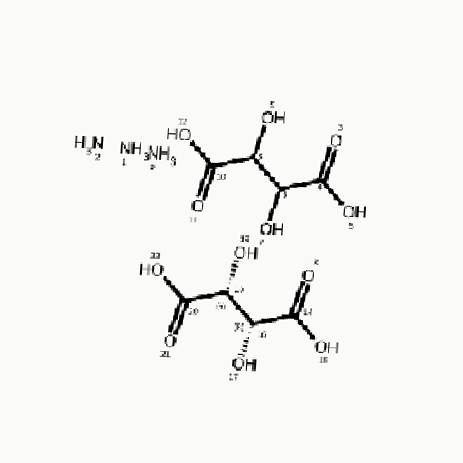 N.N.N.O=C(O)C(O)C(O)C(=O)O.O=C(O)[C@H](O)[C@@H](O)C(=O)O